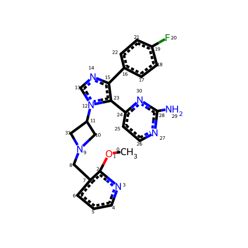 COc1ncccc1CN1CC(n2cnc(-c3ccc(F)cc3)c2-c2ccnc(N)n2)C1